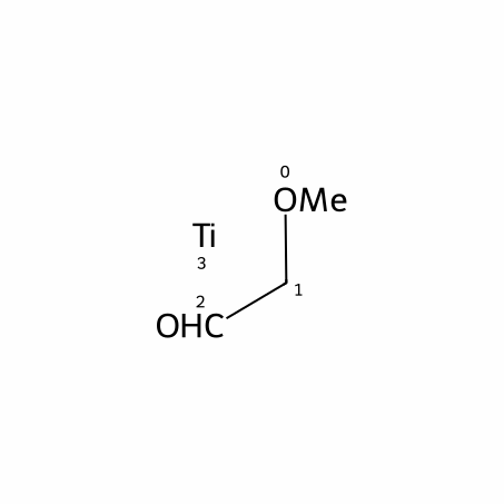 COCC=O.[Ti]